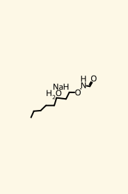 CCCCCCCCONC=O.O.[NaH]